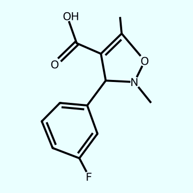 CC1=C(C(=O)O)C(c2cccc(F)c2)N(C)O1